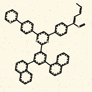 C=N/C(=C\C=C/C)c1ccc(-c2cc(-c3ccc(-c4ccccn4)cc3)nc(-c3cc(-c4cccc5ccccc45)cc(-c4cccc5ccccc45)c3)n2)cc1